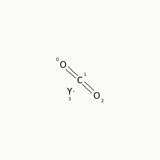 O=C=O.[Y]